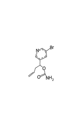 C=CCC(OC(N)=O)c1cncc(Br)c1